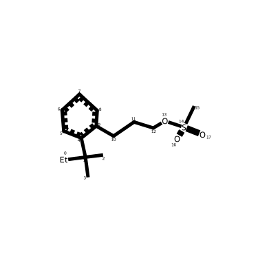 CCC(C)(C)c1ccccc1CCCOS(C)(=O)=O